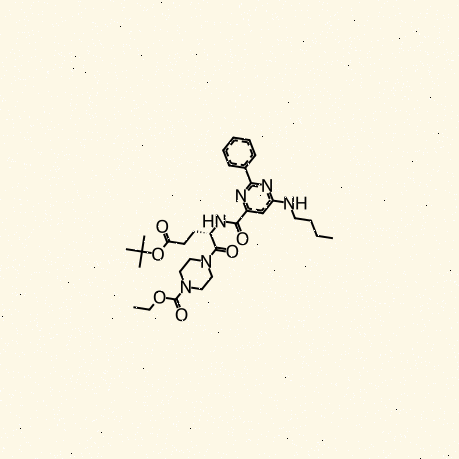 CCCCNc1cc(C(=O)N[C@@H](CCC(=O)OC(C)(C)C)C(=O)N2CCN(C(=O)OCC)CC2)nc(-c2ccccc2)n1